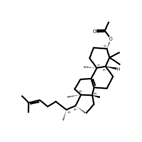 CC(=O)O[C@H]1CC[C@]2(C)C3=C(CC[C@H]2C1(C)C)[C@]1(C)CC[C@H]([C@H](C)CCC=C(C)C)[C@@]1(C)CC3